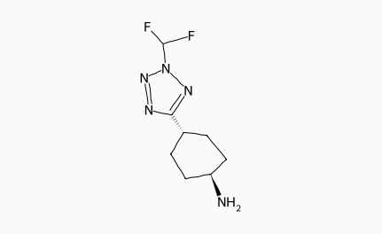 N[C@H]1CC[C@H](c2nnn(C(F)F)n2)CC1